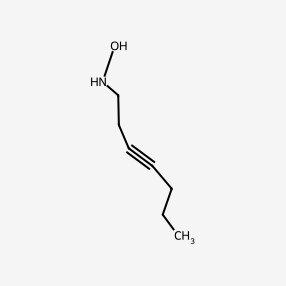 CCCC#CCCNO